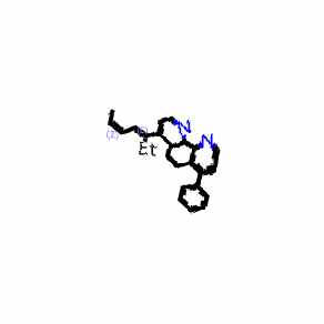 C/C=C\C=C(/CC)C1=CC=NC2c3nccc(-c4ccccc4)c3C=CC12